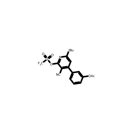 CC(=O)Oc1cccc(-c2cc(C(C)(C)C)nc(OS(=O)(=O)C(F)(F)F)c2C#N)c1